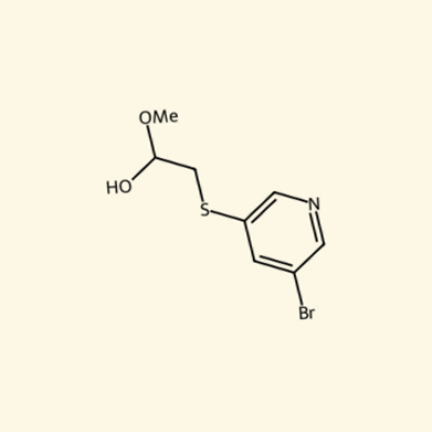 COC(O)CSc1cncc(Br)c1